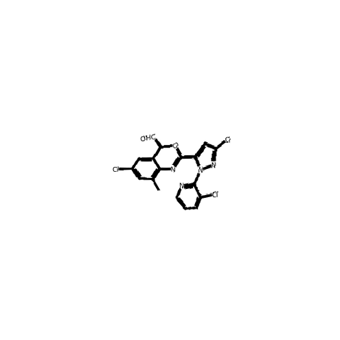 Cc1cc(Cl)cc2c1N=C(c1cc(Cl)nn1-c1ncccc1Cl)OC2C=O